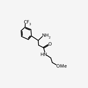 COCCNC(=O)CC(N)c1cccc(C(F)(F)F)c1